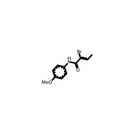 CC=C(Br)C(=O)Nc1ccc(OC)cc1